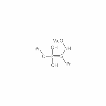 CONS(C(C)C)=P(O)(O)OC(C)C